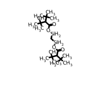 CC(C)(C)C(C(=O)O[SiH2]C[SiH2]OC(=O)C(C(C)(C)C)C(C)(C)C)C(C)(C)C